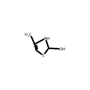 CC1=CSC(O)N1